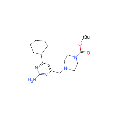 CC(C)(C)OC(=O)N1CCN(Cc2cc(C3CCCCC3)nc(N)n2)CC1